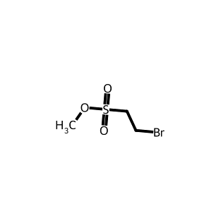 COS(=O)(=O)CCBr